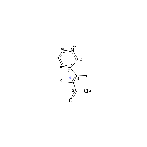 C/C(C(=O)Cl)=C(/C)c1cccnc1